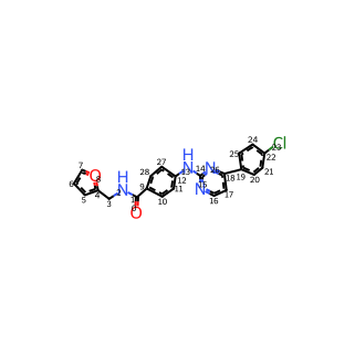 O=C(NCc1ccco1)c1ccc(Nc2nccc(-c3ccc(Cl)cc3)n2)cc1